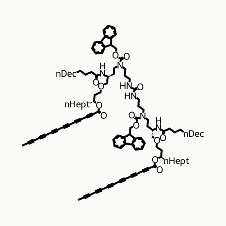 CC#CC#CC#CC#CC#CC#CC(=O)O[C@H](CCCCCCC)CCOC[C@H](CCN(CCCNC(=O)NCCCN(CC[C@@H](COCC[C@@H](CCCCCCC)OC(=O)C#CC#CC#CC#CC#CC#CC)NC(=O)CCCCCCCCCCCCC)C(=O)OCC1c2ccccc2-c2ccccc21)C(=O)OCC1c2ccccc2-c2ccccc21)NC(=O)CCCCCCCCCCCCC